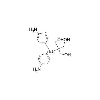 CCC(CO)(CO)CO.Nc1ccc(Cc2ccc(N)cc2)cc1